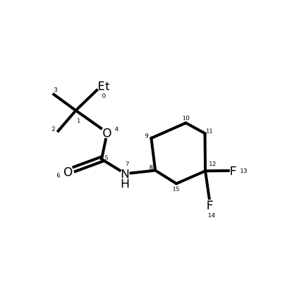 CCC(C)(C)OC(=O)NC1CCCC(F)(F)C1